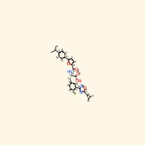 CC(C)c1ccc(-c2ccc(C(=O)N[C@@H](Cc3ccc(F)c(-c4noc(C5CC5)n4)c3)C(=O)O)o2)cc1